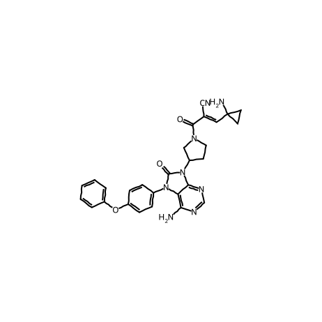 N#CC(=CC1(N)CC1)C(=O)N1CCC(n2c(=O)n(-c3ccc(Oc4ccccc4)cc3)c3c(N)ncnc32)C1